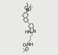 C=C1OB(c2ccc3ccc(-c4ccc5nc(CCCCNC(=O)OC(C)(C)C)[nH]c5c4)cc3c2)OC1(C)C